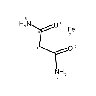 NC(=O)CC(N)=O.[Fe]